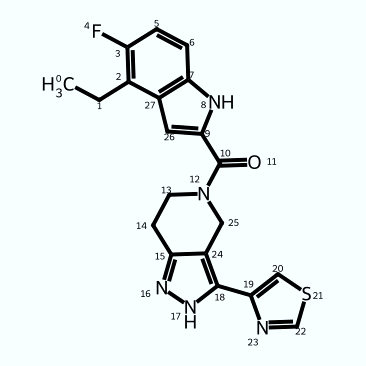 CCc1c(F)ccc2[nH]c(C(=O)N3CCc4n[nH]c(-c5cscn5)c4C3)cc12